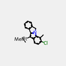 CCc1c2n(c3c(C)c(Cl)ccc13)Cc1ccccc1-2.CNC